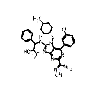 CC(O)C(Nc1nc2nc(/C(N)=N/O)nc(-c3cccc(Cl)c3)c2n1C[C@H]1CC[C@H](C)CC1)c1ccccc1